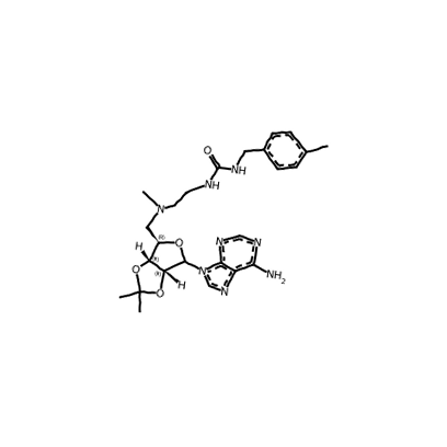 Cc1ccc(CNC(=O)NCCN(C)C[C@H]2OC(n3cnc4c(N)ncnc43)[C@@H]3OC(C)(C)O[C@H]23)cc1